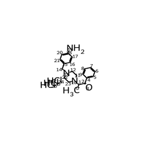 CC(C(=O)c1ccccc1)N1CCN(Cc2ccc(N)cc2)CC1.Cl.Cl.Cl